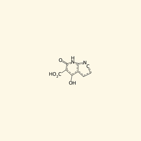 O=C(O)c1c(O)c2cccnc2[nH]c1=O